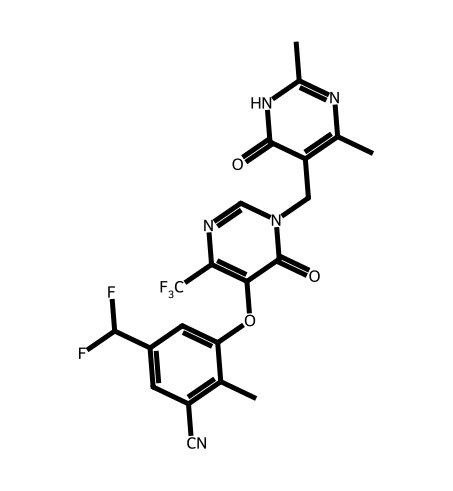 Cc1nc(C)c(Cn2cnc(C(F)(F)F)c(Oc3cc(C(F)F)cc(C#N)c3C)c2=O)c(=O)[nH]1